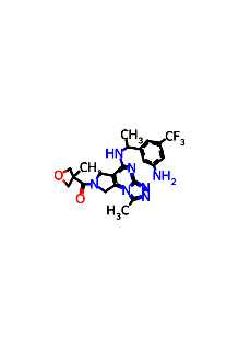 Cc1nnc2nc(NC(C)c3cc(N)cc(C(F)(F)F)c3)c3c(n12)CN(C(=O)C1(C)COC1)C3